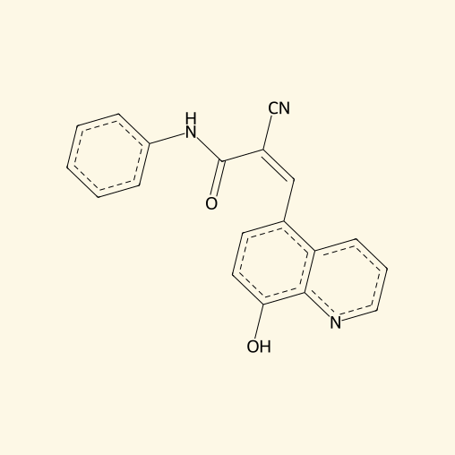 N#CC(=Cc1ccc(O)c2ncccc12)C(=O)Nc1ccccc1